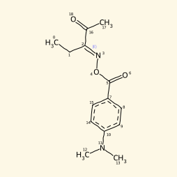 CC/C(=N\OC(=O)c1ccc(N(C)C)cc1)C(C)=O